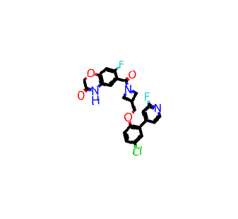 O=C1COc2cc(F)c(C(=O)N3CC(COc4ccc(Cl)cc4-c4ccnc(F)c4)C3)cc2N1